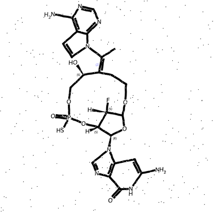 C/C(=C1\CCOC2O[C@@H](n3cnc4c(=O)[nH]c(N)cc43)[C@H](OP(=O)(S)OC[C@H]1O)[C@@H]2F)n1ccc2c(N)ncnc21